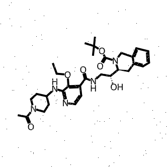 CCOc1c(C(=O)NC[C@@H](O)[C@@H]2Cc3ccccc3CN2C(=O)OC(C)(C)C)ccnc1NC1CCN(C(C)=O)CC1